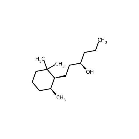 CCC[C@@H](O)CC[C@H]1[C@@H](C)CCCC1(C)C